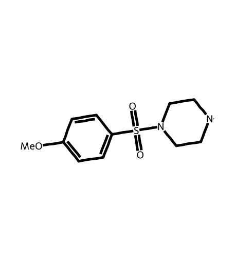 COc1ccc(S(=O)(=O)N2CC[N]CC2)cc1